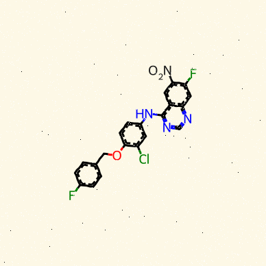 O=[N+]([O-])c1cc2c(Nc3ccc(OCc4ccc(F)cc4)c(Cl)c3)ncnc2cc1F